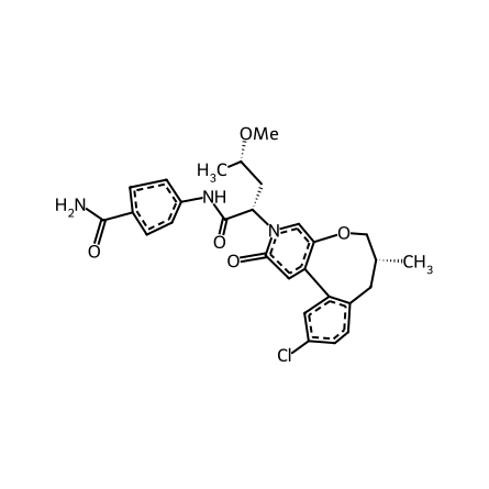 CO[C@@H](C)C[C@@H](C(=O)Nc1ccc(C(N)=O)cc1)n1cc2c(cc1=O)-c1cc(Cl)ccc1C[C@@H](C)CO2